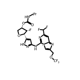 CC(C)NC(=O)O[C@H]1CO[C@@H](c2cc(Nc3nc(C(F)F)cc4nc(COC(F)(F)F)cn34)n[nH]2)[C@H]1F